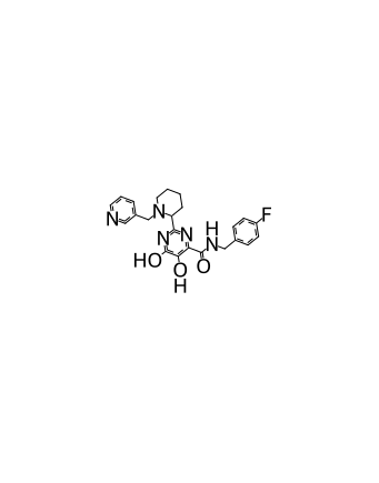 O=C(NCc1ccc(F)cc1)c1nc(C2CCCCN2Cc2cccnc2)nc(O)c1O